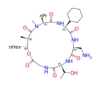 CCCCCC[C@H]1OC(=O)CNC(=O)[C@H](C(C)O)NC(=O)[C@H](CN)NC(=O)[C@H](C2CCCCC2)NC(=O)[C@H](CCC)N(C)C(=O)[C@@H]1C